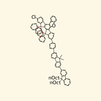 CCCCCCCCC1(CCCCCCCC)c2ccccc2-c2ccc(-c3ccc4c(c3)C(C)(C)c3cc(-c5ccc(-c6ccc7c(c6)C(c6ccccc6)(c6ccccc6)c6c8c(c9c(oc%10ccccc%109)c6-7)-c6ccc(Cl)cc6C8(c6ccccc6)c6ccccc6)cc5)ccc3-4)cc21